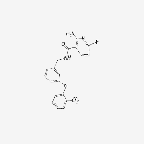 Nc1nc(F)ccc1C(=O)NCc1cccc(Oc2ccccc2C(F)(F)F)c1